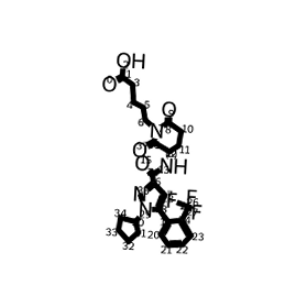 O=C(O)CCCCN1C(=O)CC[C@H](NC(=O)c2cc(-c3ccccc3C(F)(F)F)n(C3CCCC3)n2)C1=O